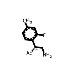 CC(=O)[C@H](CN)c1ccc(C)cc1F